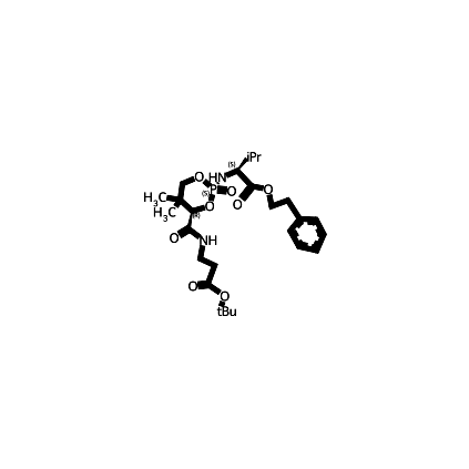 CC(C)[C@H](N[P@]1(=O)OCC(C)(C)[C@H](C(=O)NCCC(=O)OC(C)(C)C)O1)C(=O)OCCc1ccccc1